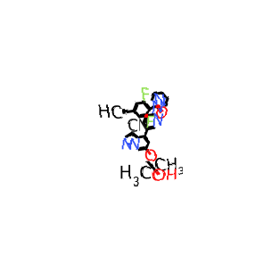 C#Cc1cc(F)c(C(=O)N2C3CC2CN(c2ccc(-c4cc(OCC(C)(C)O)cn5ncc(C#N)c45)cn2)C3)c(F)c1